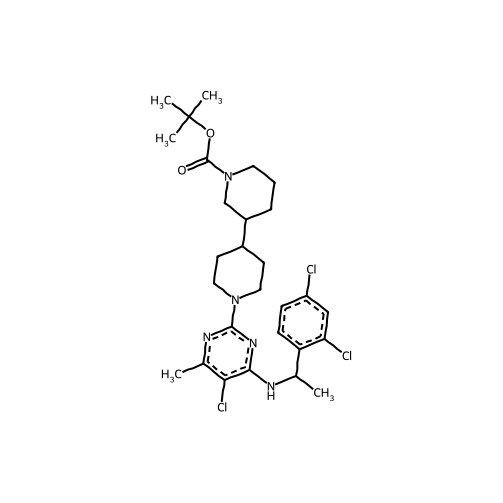 Cc1nc(N2CCC(C3CCCN(C(=O)OC(C)(C)C)C3)CC2)nc(NC(C)c2ccc(Cl)cc2Cl)c1Cl